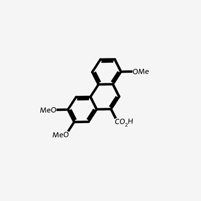 COc1cc2c(C(=O)O)cc3c(OC)cccc3c2cc1OC